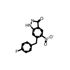 O=C1[N]Nc2cc(Cc3ccc(F)cc3)c([N+](=O)[O-])cc21